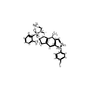 C[C@@H]1C2=C(CC[C@@H]2CN(CC#N)S(=O)(=O)c2ccccc2C(F)(F)F)Cc2c1cnn2-c1ccc(F)cc1